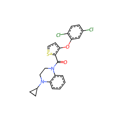 O=C(c1sccc1Oc1cc(Cl)ccc1Cl)N1CCN(C2CC2)c2ccccc21